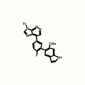 CCn1cnc2c(-c3ccc(F)c(-c4cc5cc[nH]c5cc4OC)c3)cnnc21